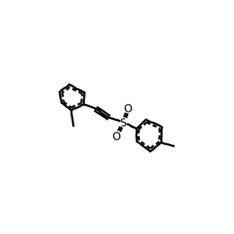 Cc1ccc(S(=O)(=O)C#Cc2ccccc2C)cc1